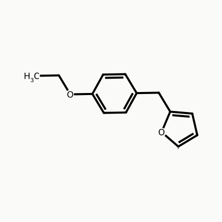 CCOc1ccc(Cc2cc[c]o2)cc1